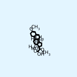 COC1=CC2=CC[C@@H]3[C@H](CC[C@@]4(C)[C@H]3CC[C@@]4(O)[C@@H](OC)C(=O)O)[C@@]2(C)CC1